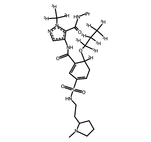 [2H]C1(OC([2H])([2H])C([2H])([2H])C([2H])([2H])[2H])CC=C(S(=O)(=O)NCCC2CCCN2C)C=C1C(=O)Nc1cnn(C([2H])([2H])[2H])c1C(=O)NC(C)C